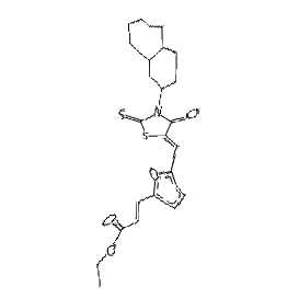 CCOC(=O)/C=C/c1ccc(/C=C2\SC(=S)N(C3CCC4CCCCC4C3)C2=O)o1